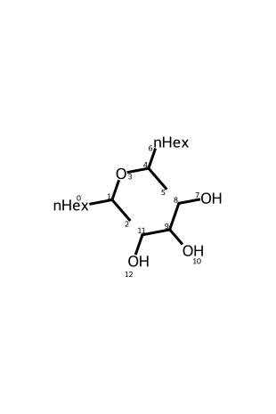 CCCCCCC(C)OC(C)CCCCCC.OCC(O)CO